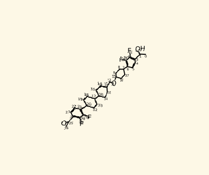 CC(O)c1ccc(C2CCC(OCC3CCC(C4CCC(c5ccc(C6CO6)c(F)c5F)CC4)CC3)CC2)c(F)c1F